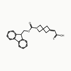 O=C(OCC1c2ccccc2-c2ccccc21)N1CC2(CC(=CC(O)=S)C2)C1